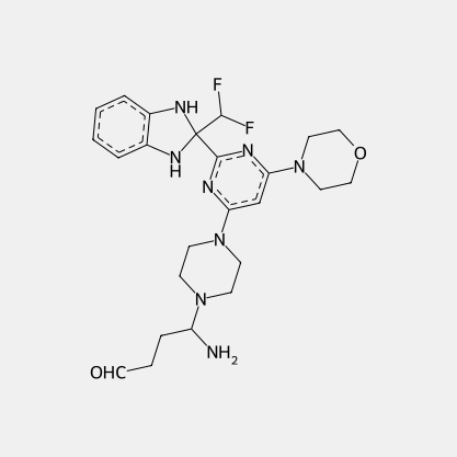 NC(CCC=O)N1CCN(c2cc(N3CCOCC3)nc(C3(C(F)F)Nc4ccccc4N3)n2)CC1